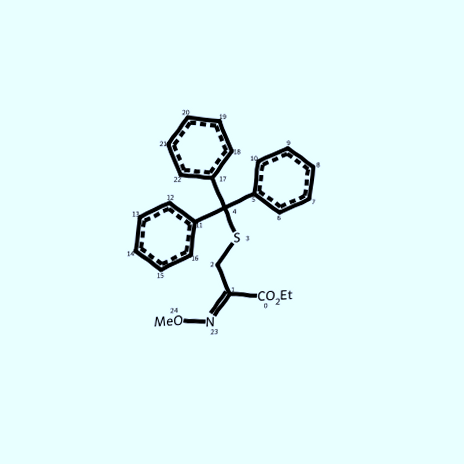 CCOC(=O)/C(CSC(c1ccccc1)(c1ccccc1)c1ccccc1)=N/OC